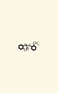 Cc1ccccc1SP(Cl)Oc1ccccc1Cl